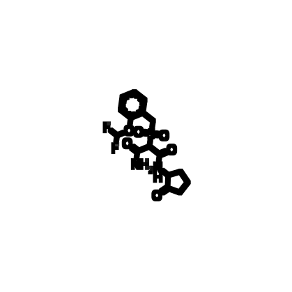 NC(=O)C(C(=O)NC1CCCC1=O)S(=O)(=O)Cc1ccccc1OC(F)F